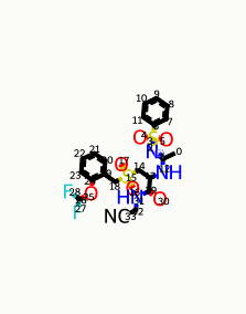 C/C(=N\S(=O)(=O)c1ccccc1)NC(CS(=O)(=O)Cc1ccccc1OC(F)F)C(=O)NCC#N